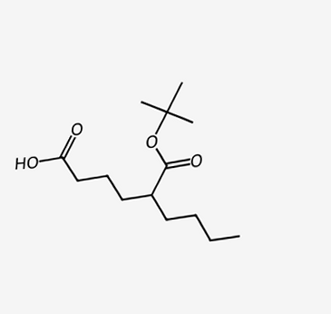 CCCCC(CCCC(=O)O)C(=O)OC(C)(C)C